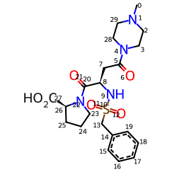 CN1CCN(C(=O)C[C@@H](NS(=O)(=O)Cc2ccccc2)C(=O)N2CCC[C@H]2C(=O)O)CC1